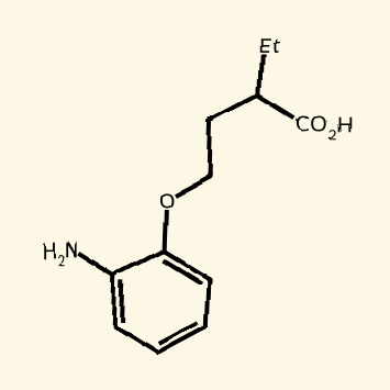 CCC(CCOc1ccccc1N)C(=O)O